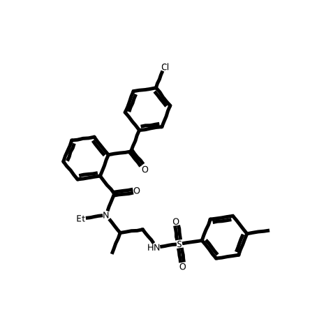 CCN(C(=O)c1ccccc1C(=O)c1ccc(Cl)cc1)C(C)CNS(=O)(=O)c1ccc(C)cc1